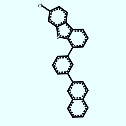 Clc1ccc2c(c1)sc1c(-c3cccc(-c4ccc5ccccc5c4)c3)cccc12